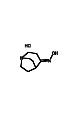 Cl.O/N=C1\CCN2CCC1CC2